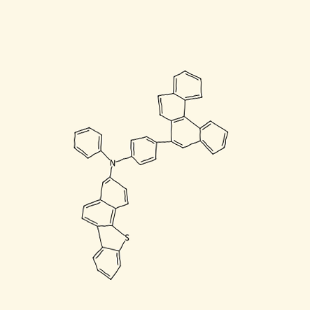 c1ccc(N(c2ccc(-c3cc4ccccc4c4c3ccc3ccccc34)cc2)c2ccc3c(ccc4c5ccccc5sc34)c2)cc1